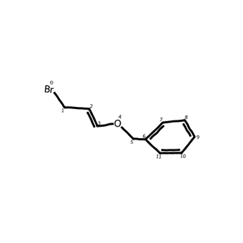 BrCC=COCc1ccccc1